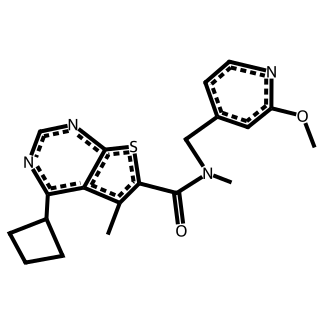 COc1cc(CN(C)C(=O)c2sc3ncnc(C4CCC4)c3c2C)ccn1